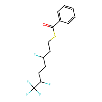 O=C(SCCC(F)CCC(F)C(F)(F)F)c1ccccc1